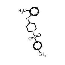 Cc1ccc(S(=O)(=O)N2CCC(Oc3ccccc3C)CC2)cc1